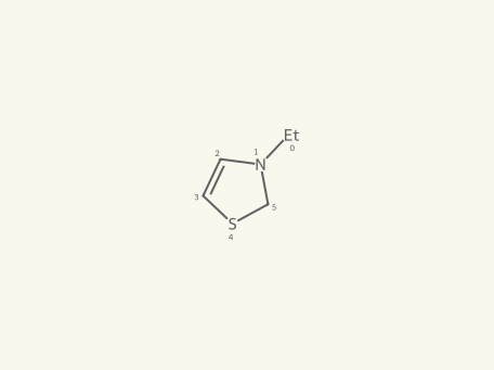 [CH2]CN1C=CSC1